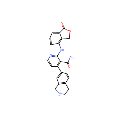 NC(=O)c1c(-c2ccc3c(c2)CNCC3)ccnc1Nc1cccc2c1COC2=O